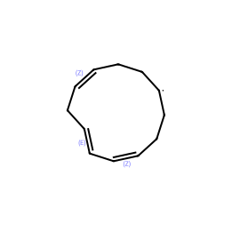 [CH]1CC/C=C\C=C\C/C=C\CC1